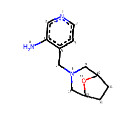 Nc1cnccc1CN1CC2CCC(C1)O2